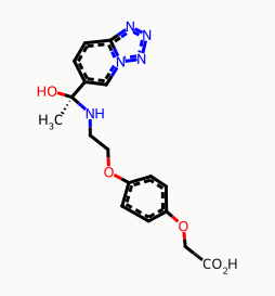 C[C@@](O)(NCCOc1ccc(OCC(=O)O)cc1)c1ccc2nnnn2c1